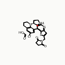 O=C1CCC(=O)N1Cc1cc2nccc(-c3cc(Cl)cc4c3N([C@H]3CCNC3)CCC4)c2s1.O=CO